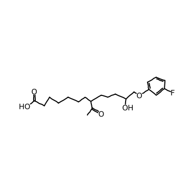 CC(=O)C(CCCCCCC(=O)O)CCCC(O)COc1cccc(F)c1